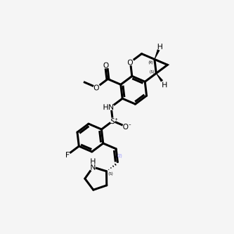 COC(=O)c1c(N[S+]([O-])c2ccc(F)cc2/C=C\[C@@H]2CCCN2)ccc2c1OC[C@@H]1C[C@H]21